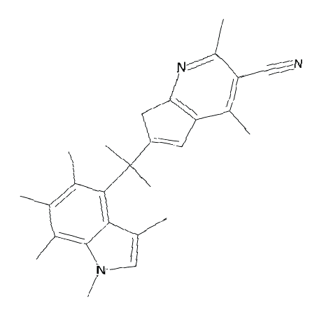 Cc1nc2c(c(C)c1C#N)C=C(C(C)(C)c1c(C)c(C)c(C)c3c1c(C)cn3C)C2